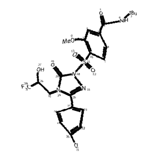 COc1cc(C(=O)NC(C)(C)C)ccc1S(=O)(=O)n1nc(-c2ccc(Cl)cc2)n(CC(O)C(F)(F)F)c1=O